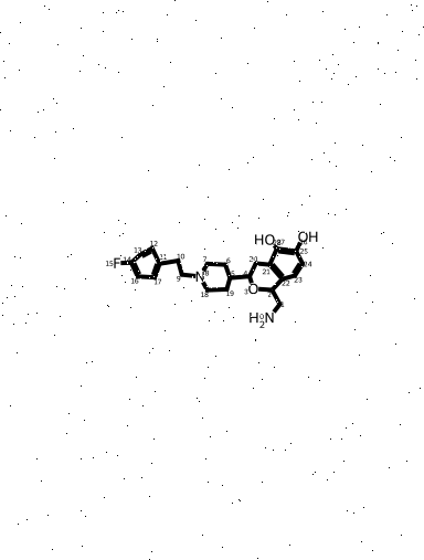 NCC1OC(C2CCN(CCc3ccc(F)cc3)CC2)Cc2c1ccc(O)c2O